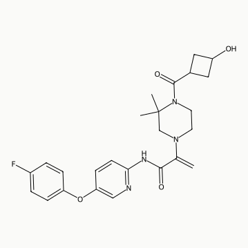 C=C(C(=O)Nc1ccc(Oc2ccc(F)cc2)cn1)N1CCN(C(=O)C2CC(O)C2)C(C)(C)C1